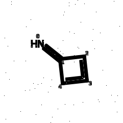 N=C1C=C=C1